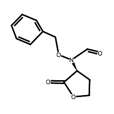 O=CN(OCc1ccccc1)[C@H]1CCOC1=O